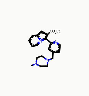 CCOC(=O)c1cc2ccccn2c1-c1cc(CN2CCN(C)CC2)ccn1